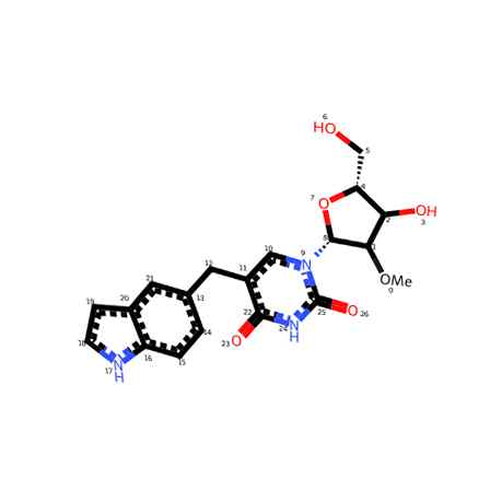 COC1C(O)[C@@H](CO)O[C@H]1n1cc(Cc2ccc3[nH]ccc3c2)c(=O)[nH]c1=O